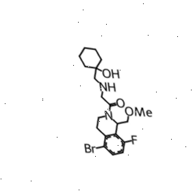 COCC1c2c(F)ccc(Br)c2CCN1C(=O)CNCC1(O)CCCCC1